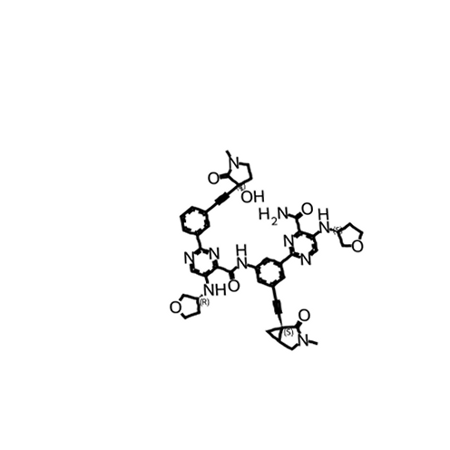 CN1CC[C@@](O)(C#Cc2cccc(-c3ncc(N[C@@H]4CCOC4)c(C(=O)Nc4cc(C#C[C@]56CC5CN(C)C6=O)cc(-c5ncc(N[C@H]6CCOC6)c(C(N)=O)n5)c4)n3)c2)C1=O